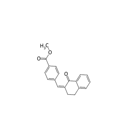 COC(=O)c1ccc(/C=C2/CCc3ccccc3C2=O)cc1